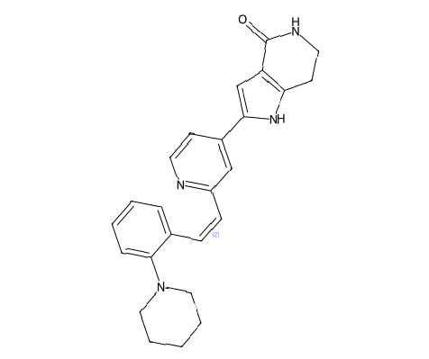 O=C1NCCc2[nH]c(-c3ccnc(/C=C\c4ccccc4N4CCCCC4)c3)cc21